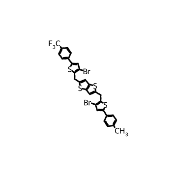 Cc1ccc(-c2cc(Br)c(Cc3cc4sc(Cc5sc(-c6ccc(C(F)(F)F)cc6)cc5Br)cc4s3)s2)cc1